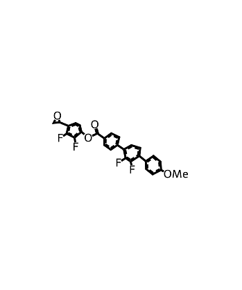 COc1ccc(-c2ccc(-c3ccc(C(=O)Oc4ccc(C5CO5)c(F)c4F)cc3)c(F)c2F)cc1